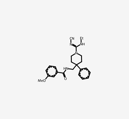 CCN/C(=N\C#N)N1CCC(CNC(=O)c2cccc(OC)c2)(c2ccccc2)CC1